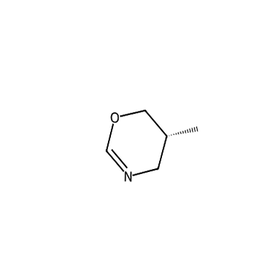 C[C@@H]1CN=COC1